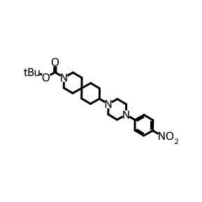 CC(C)(C)OC(=O)N1CCC2(CCC(N3CCN(c4ccc([N+](=O)[O-])cc4)CC3)CC2)CC1